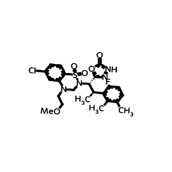 COCCN1CN([C@H](c2n[nH]c(=O)o2)[C@H](C)c2c(F)ccc(C)c2C)S(=O)(=O)c2ccc(Cl)cc21